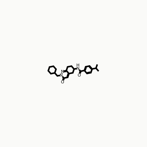 CC(C)c1ccc(C(=O)NC2CCc3nn(CC4CCCCC4)c(=O)cc3C2)cc1